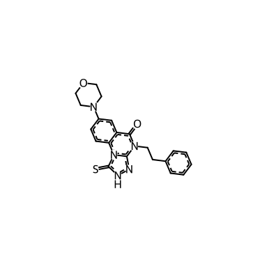 O=c1c2cc(N3CCOCC3)ccc2n2c(=S)[nH]nc2n1CCc1ccccc1